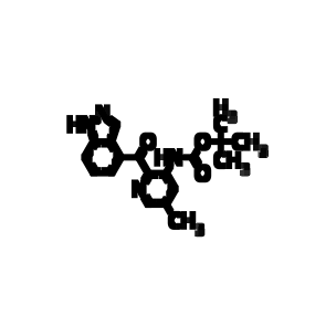 Cc1cnc(C(=O)c2cccc3[nH]ncc23)c(NC(=O)OC(C)(C)C)c1